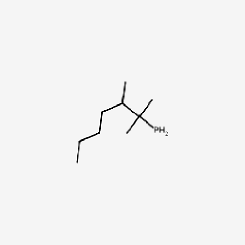 CCCCC(C)C(C)(C)P